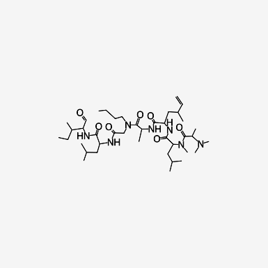 C=CC(C)CC(NC(=O)C(CC(C)C)N(C)C(=O)C(C)N(C)C)C(=O)NC(C)C(=O)N(CCCC)CC(=O)NC(CC(C)C)C(=O)NC(C=O)C(C)CC